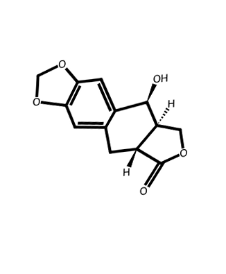 O=C1OC[C@@H]2[C@H](O)c3cc4c(cc3C[C@@H]12)OCO4